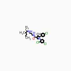 C=CCC(C)C(C)NCCCNC(=O)c1cn(-c2ccc(Cl)cc2Cl)c(-c2ccc(Cl)cc2)c1C